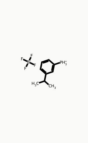 CC(C)c1cccc([PH3+])c1.F[B-](F)(F)F